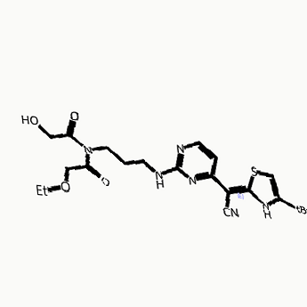 CCOCC(=O)N(CCCNc1nccc(/C(C#N)=C2/NC(C(C)(C)C)=CS2)n1)C(=O)CO